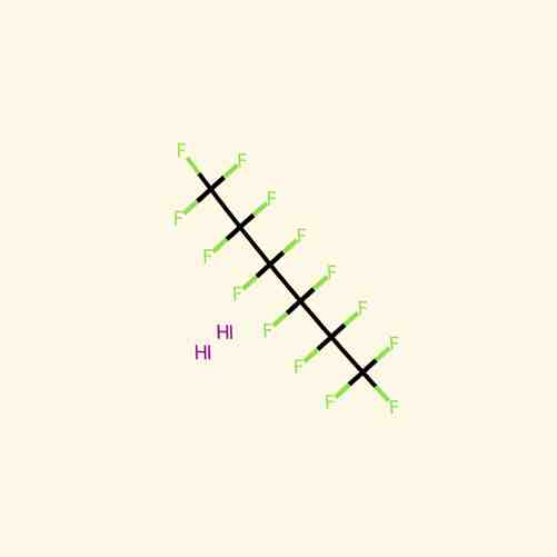 FC(F)(F)C(F)(F)C(F)(F)C(F)(F)C(F)(F)C(F)(F)F.I.I